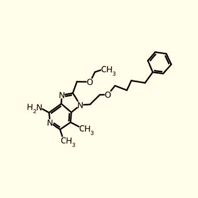 CCOCc1nc2c(N)nc(C)c(C)c2n1CCOCCCCc1ccccc1